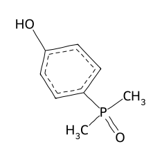 CP(C)(=O)c1ccc(O)cc1